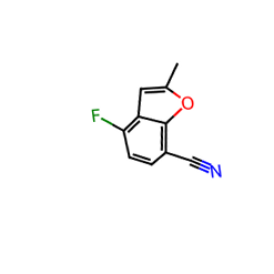 Cc1cc2c(F)ccc(C#N)c2o1